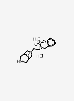 CS(=O)(=O)N(CCN1CC2CNCC(C1)O2)Cc1ccccc1.Cl